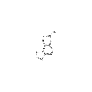 CC(C)(C)c1ccc2c(ccc3ncsc32)c1